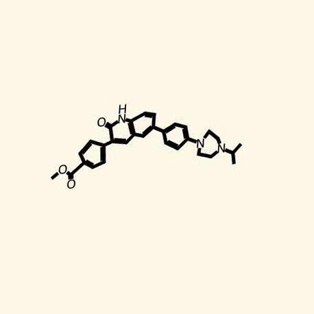 COC(=O)c1ccc(-c2cc3cc(-c4ccc(N5CCN(C(C)C)CC5)cc4)ccc3[nH]c2=O)cc1